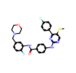 CSc1cnc(Nc2ccc(C(=O)Nc3cc(CN4CCOCC4)ccc3F)cc2)nc1-c1ccc(F)cc1